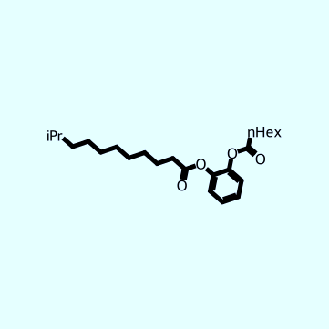 CCCCCCC(=O)Oc1ccccc1OC(=O)CCCCCCCCC(C)C